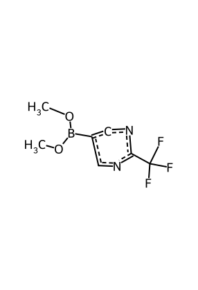 COB(OC)c1cnc(C(F)(F)F)nc1